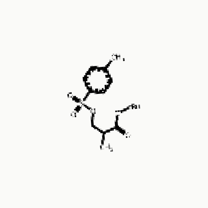 Cc1ccc(S(=O)(=O)OCC(C)C(=O)OC(C)(C)C)cc1